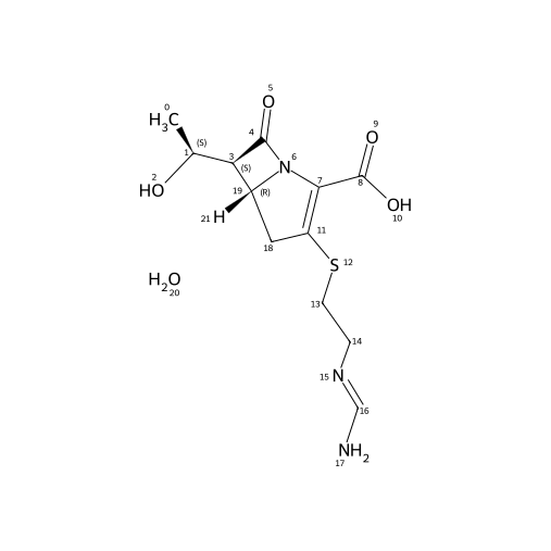 C[C@H](O)[C@H]1C(=O)N2C(C(=O)O)=C(SCCN=CN)C[C@H]12.O